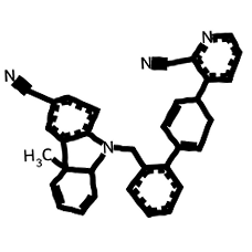 CC12C=CC=CC1N(Cc1ccccc1C1=CCC(c3cccnc3C#N)C=C1)c1ccc(C#N)cc12